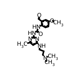 COc1ccc(NC(=O)Nc2nc(C)cc(NCCCN(C)C)n2)c(C=O)c1